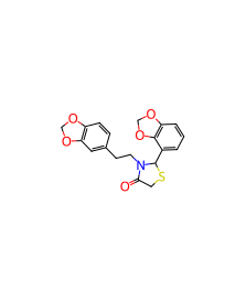 O=C1CSC(c2cccc3c2OCO3)N1CCc1ccc2c(c1)OCO2